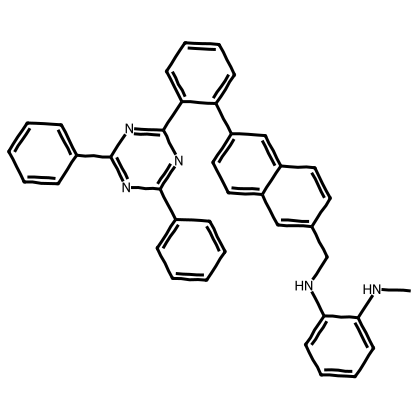 CNc1ccccc1NCc1ccc2cc(-c3ccccc3-c3nc(-c4ccccc4)nc(-c4ccccc4)n3)ccc2c1